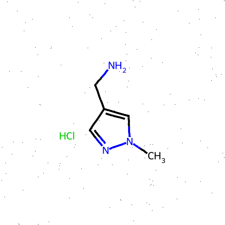 Cl.Cn1cc(CN)cn1